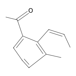 C/C=C\c1c(C)cccc1C(C)=O